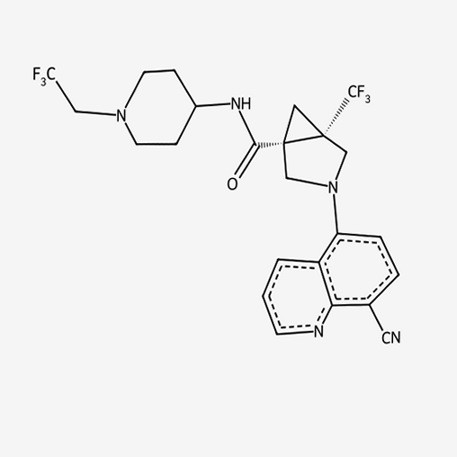 N#Cc1ccc(N2C[C@@]3(C(=O)NC4CCN(CC(F)(F)F)CC4)C[C@@]3(C(F)(F)F)C2)c2cccnc12